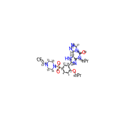 CCCOc1ccc(S(=O)(=O)N2CCN(CC(F)(F)F)CC2)cc1-c1nc2c([nH]1)c1nncn1c(=O)n2CCC